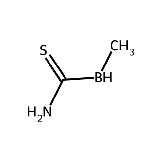 CBC(N)=S